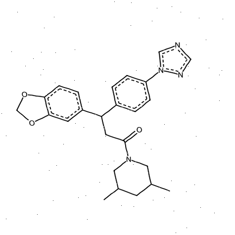 CC1CC(C)CN(C(=O)CC(c2ccc(-n3cncn3)cc2)c2ccc3c(c2)OCO3)C1